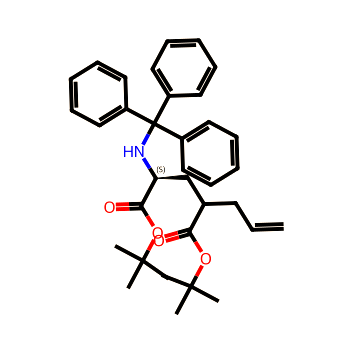 C=CCC(C[C@H](NC(c1ccccc1)(c1ccccc1)c1ccccc1)C(=O)OC(C)(C)C)C(=O)OC(C)(C)C